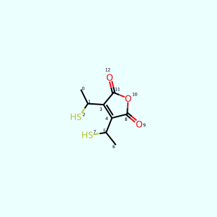 CC(S)C1=C(C(C)S)C(=O)OC1=O